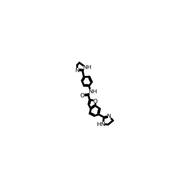 O=C(Nc1ccc(C2=NCCN2)cc1)c1cc2ccc(C3=NCCN3)cc2o1